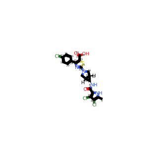 Cc1[nH]c(C(=O)N[C@@H]2[C@@H]3CN(c4nc(-c5ccc(Cl)cc5)c(C(=O)O)s4)C[C@@H]32)c(Cl)c1Cl